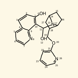 Oc1ccc2cccnc2c1C(O)N1C2CCC1C(COc1ccccn1)C2